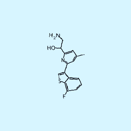 Cc1cc(-c2csc3c(F)cccc23)nc(C(O)CN)c1